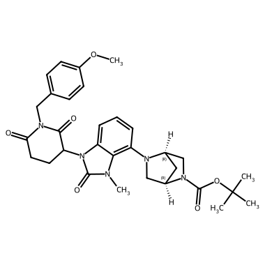 COc1ccc(CN2C(=O)CCC(n3c(=O)n(C)c4c(N5C[C@H]6C[C@@H]5CN6C(=O)OC(C)(C)C)cccc43)C2=O)cc1